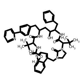 COC(=O)NC(C(=O)NC(Cc1ccc(-c2ccccn2)cc1)CC(O)C(Cc1ccccc1)NC(=O)C(N1CCN(Cc2ccnc3ccccc23)C1=O)C(C)(C)C)C(C)(C)C